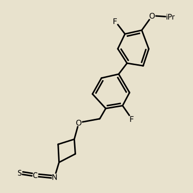 CC(C)Oc1ccc(-c2ccc(COC3CC(N=C=S)C3)c(F)c2)cc1F